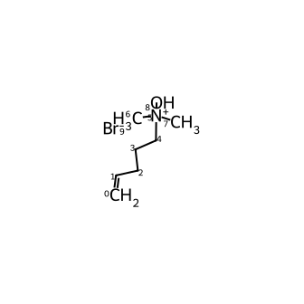 C=CCCC[N+](C)(C)O.[Br-]